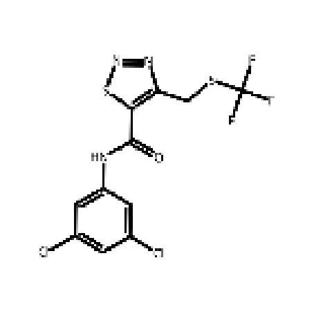 O=C(Nc1cc(Cl)cc(Cl)c1)c1snnc1CSC(F)(F)F